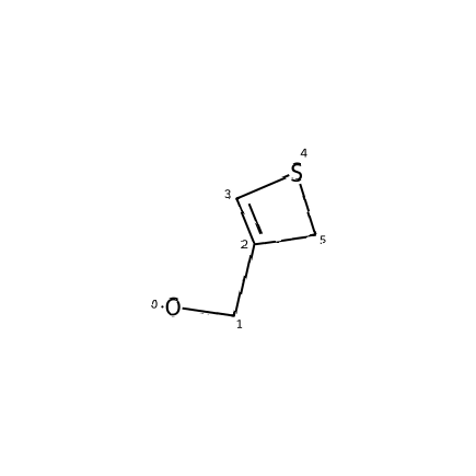 [O]CC1=CSC1